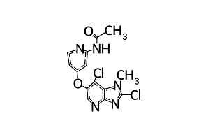 CC(=O)Nc1cc(Oc2cnc3nc(Cl)n(C)c3c2Cl)ccn1